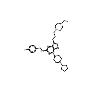 CCN1CCN(CCCn2cnc3c(N4CCN(C5CCCC5)CC4)nc(NCc4ccc(F)cc4)nc32)CC1